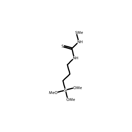 CO[Si](CCCNC(=S)NSC)(OC)OC